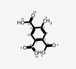 Cc1cc(C(=O)O)c(I(=O)=O)cc1C(=O)O